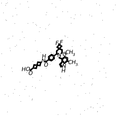 COc1cc(C)c2[nH]ccc2c1CN1CCC2(CC1c1ccc(C(=O)NC3CC4(C3)CC(C(=O)O)C4)cc1)CC(F)(F)C2